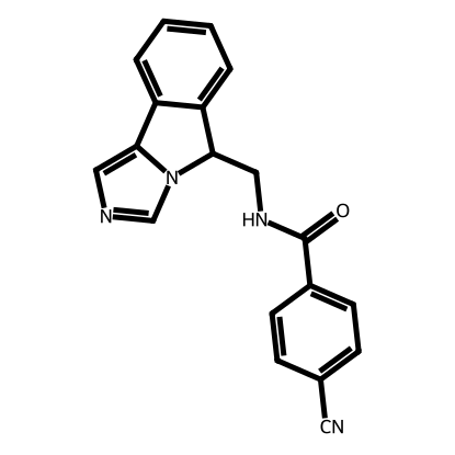 N#Cc1ccc(C(=O)NCC2c3ccccc3-c3cncn32)cc1